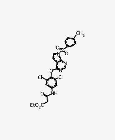 CCOC(=O)CC(=O)Nc1cc(Cl)c(Oc2ncnc3c2ccn3S(=O)(=O)c2ccc(C)cc2)c(Cl)c1